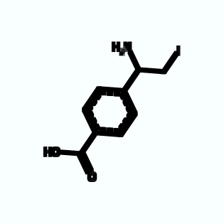 NC(CI)c1ccc(C(=O)O)cc1